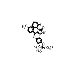 CC(C)(Oc1ccc(OC(c2ccc(C(F)(F)F)cc2)c2n[nH]c(=O)n2-c2ccccc2F)cc1)C(=O)O